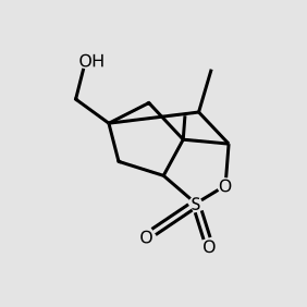 CC1C2OS(=O)(=O)C3CC1(CO)CC23C